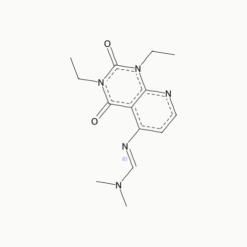 CCn1c(=O)c2c(/N=C/N(C)C)ccnc2n(CC)c1=O